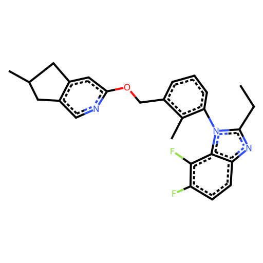 CCc1nc2ccc(F)c(F)c2n1-c1cccc(COc2cc3c(cn2)CC(C)C3)c1C